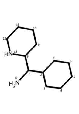 NC(C1CCCCC1)C1CCCCN1